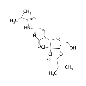 CC(C)C(=O)Nc1ccn(C2OC(CO)C(OC(=O)C(C)C)C2(Cl)Cl)c(=O)n1